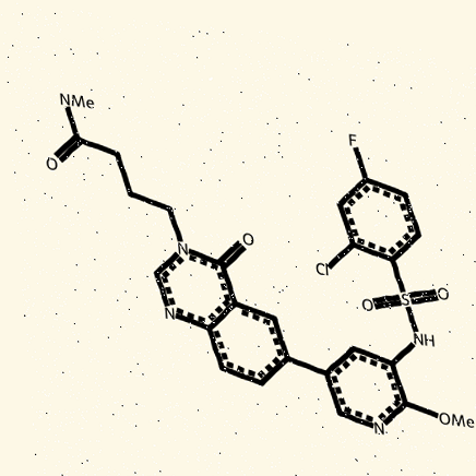 CNC(=O)CCCn1cnc2ccc(-c3cnc(OC)c(NS(=O)(=O)c4ccc(F)cc4Cl)c3)cc2c1=O